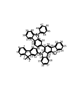 CC1(C)c2ccccc2-c2ccc(-n3c4ccccc4c4c5oc6ccccc6c5cc(-c5ccc6c7ccccc7n(-c7ccccc7)c6c5)c43)cc21